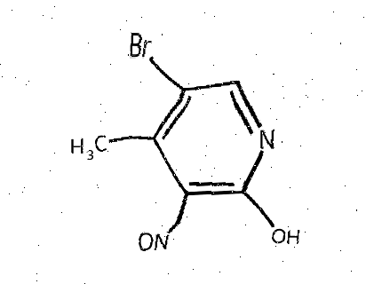 Cc1c(Br)cnc(O)c1N=O